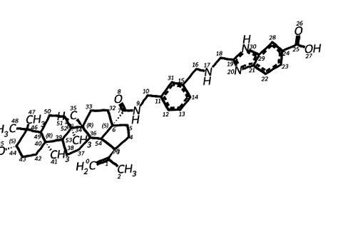 C=C(C)[C@@H]1CC[C@]2(C(=O)NCc3cccc(CNCc4nc5ccc(C(=O)O)cc5[nH]4)c3)CC[C@]3(C)C(CCC4[C@@]5(C)CC[C@H](O)C(C)(C)C5CC[C@]43C)C12